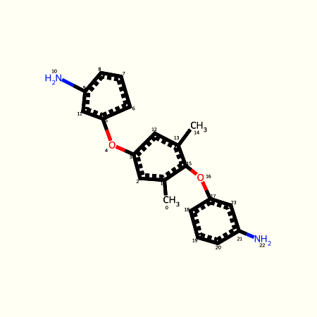 Cc1cc(Oc2cccc(N)c2)cc(C)c1Oc1cccc(N)c1